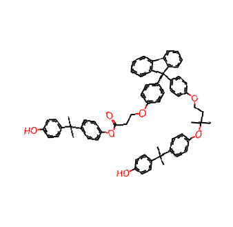 CC(C)(CCOc1ccc(C2(c3ccc(OCCC(=O)Oc4ccc(C(C)(C)c5ccc(O)cc5)cc4)cc3)c3ccccc3-c3ccccc32)cc1)Oc1ccc(C(C)(C)c2ccc(O)cc2)cc1